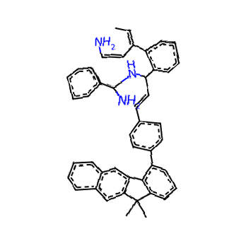 C/C=C(\C=C/N)c1ccccc1C(/C=C/c1ccc(-c2cccc3c2-c2cc4ccccc4cc2C3(C)C)cc1)NC(N)c1ccccc1